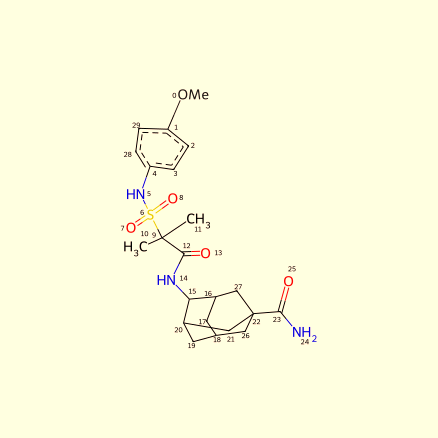 COc1ccc(NS(=O)(=O)C(C)(C)C(=O)NC2C3CC4CC2CC(C(N)=O)(C4)C3)cc1